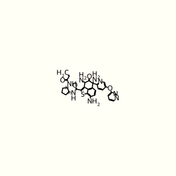 C=CC(=O)N[C@H]1CCC[C@H]1NC(=O)c1sc2c(N)ccc3c2c1C(N)C(=O)C3(N)c1ccc(Oc2cccnn2)cn1